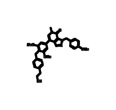 COc1ccc(Cn2ncc3c(-c4cc(OC)c(Cc5ccc(CCO)cc5)c(OC)c4)cn(C)c(=O)c32)cc1